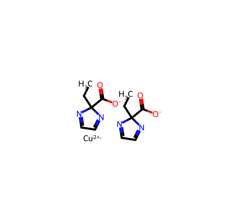 CCC1(C(=O)[O-])N=CC=N1.CCC1(C(=O)[O-])N=CC=N1.[Cu+2]